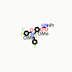 CCCNC(=O)COc1cccc(C2SC(c3ccc(F)cc3)=NN2C(=O)c2cc(F)c(F)c(OC)c2F)c1OC